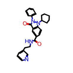 O=C(NCCc1cccnc1)c1ccc2c(c1)c(=O)n(-c1ccccc1)n2C1CCCCC1